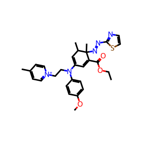 CCOC(=O)C1=CC(N(CC[n+]2ccc(C)cc2)c2ccc(OC)cc2)=CC(C)C1(C)N=Nc1nccs1